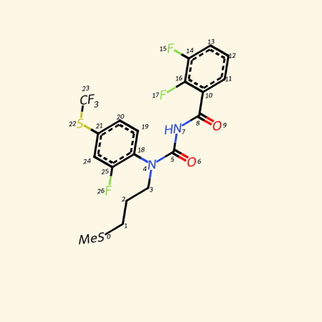 CSCCCN(C(=O)NC(=O)c1cccc(F)c1F)c1ccc(SC(F)(F)F)cc1F